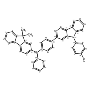 CC1(C)c2ccccc2-c2ccc(N(c3ccccc3)c3ccc(-c4ccc5c6ccccc6n(-c6ccc(F)cc6)c5c4)cc3)cc21